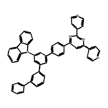 c1ccc(-c2cccc(-c3cc(-c4ccc(-c5cc(-c6ccncc6)nc(-c6ccncc6)n5)cc4)cc(-n4c5ccccc5c5ccccc54)c3)c2)cc1